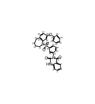 O=c1[nH]c2ccccc2c(=O)n1-c1cccc(S(=O)(=O)N2CCCCc3ccc(Oc4ccccc4)cc32)c1